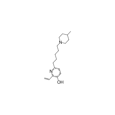 C=Cc1nc(CCCCCN2CCC(C)CC2)ccc1O